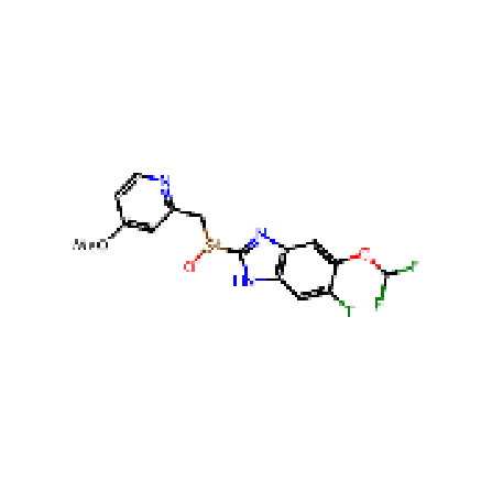 COc1ccnc(C[S+]([O-])c2nc3cc(OC(F)F)c(F)cc3[nH]2)c1